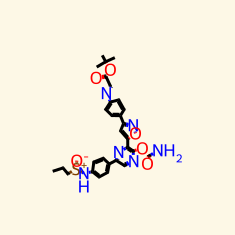 CCC[S+]([O-])Nc1ccc(-c2cnc(OC(N)=O)c(-c3cc(-c4ccc(N=CC(=O)OC(C)(C)C)cc4)no3)n2)cc1